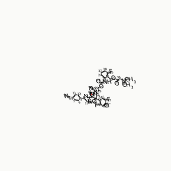 C[C@@H](c1nc(-c2ccc(C#N)cc2)cs1)[C@](O)(C[N+]1(CCOC(=O)Nc2cccc(F)c2COC(=O)CN(C)C)C=NC=N1)c1cc(F)ccc1F.[Cl-]